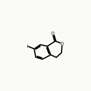 O=C1OCCc2ccc(I)cc21